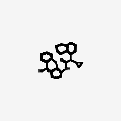 O=C(O)c1ccccc1Cc1ccccc1NC(=O)C(c1cccc2ccccc12)C1CC1